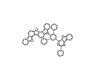 c1ccc(-c2nc(-c3cc(-c4ccccc4)c(-n4c5ccccc5c5c6oc7ccc8c9ccccc9oc8c7c6ccc54)c(-c4ccccc4)c3)c3oc4ccccc4c3n2)cc1